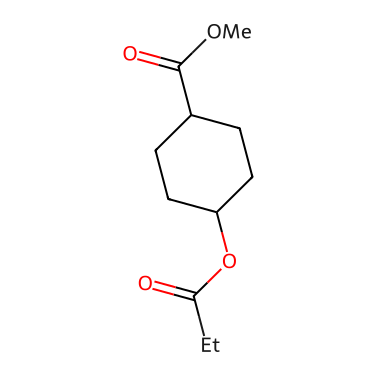 CCC(=O)OC1CCC(C(=O)OC)CC1